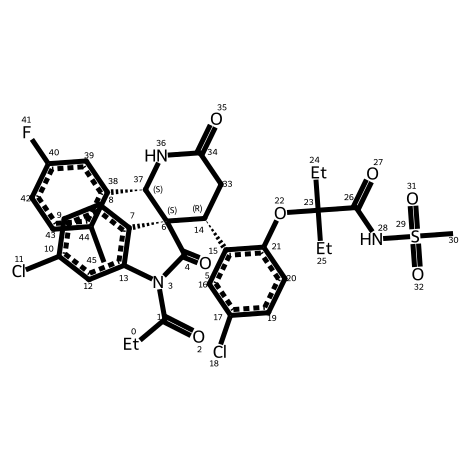 CCC(=O)N1C(=O)[C@]2(c3ccc(Cl)cc31)[C@@H](c1cc(Cl)ccc1OC(CC)(CC)C(=O)NS(C)(=O)=O)CC(=O)N[C@H]2c1cc(F)ccc1C